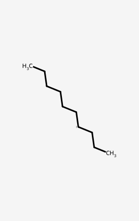 CCC[C]CCCCCC